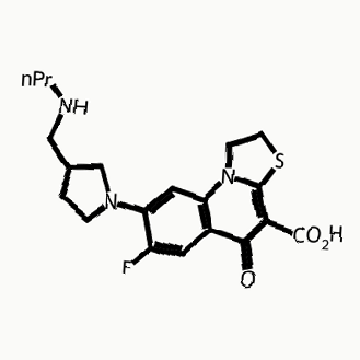 CCCNCC1CCN(c2cc3c(cc2F)c(=O)c(C(=O)O)c2n3CCS2)C1